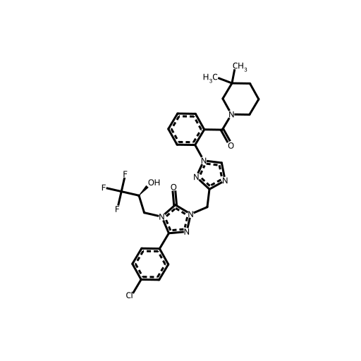 CC1(C)CCCN(C(=O)c2ccccc2-n2cnc(Cn3nc(-c4ccc(Cl)cc4)n(C[C@H](O)C(F)(F)F)c3=O)n2)C1